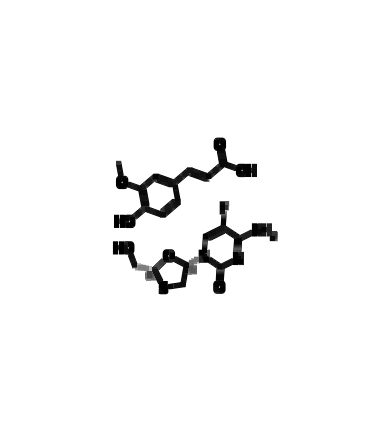 COc1cc(C=CC(=O)O)ccc1O.Nc1nc(=O)n([C@@H]2CS[C@H](CO)O2)cc1F